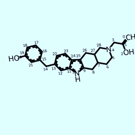 C=C(O)CN1CCC2Cc3[nH]c4cc(Cc5cccc(O)c5)ccc4c3CC2C1